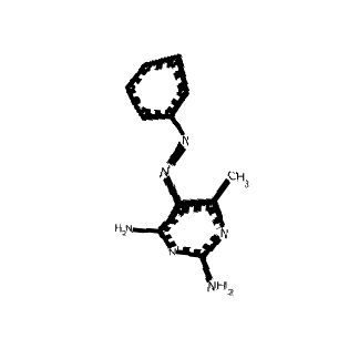 Cc1nc(N)nc(N)c1N=Nc1ccccc1